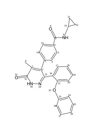 Cc1c(-c2ccc(C(=O)NC3CC3)cc2)c(-c2ccccc2Oc2ccccc2)n[nH]c1=O